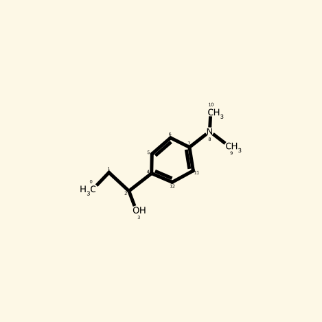 CCC(O)c1ccc(N(C)C)cc1